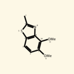 COc1ccc2sc(C)nc2c1OC